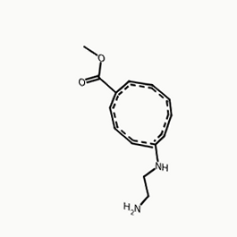 COC(=O)c1cccccc(NCCN)ccc1